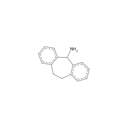 NC1c2ccccc2CCc2ccccc21